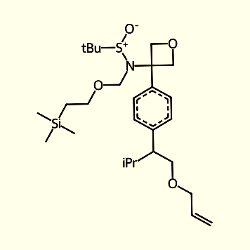 C=CCOCC(c1ccc(C2(N(COCC[Si](C)(C)C)[S+]([O-])C(C)(C)C)COC2)cc1)C(C)C